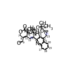 CC[C@@]1(O)C(=O)OCC(C=O)=C1/C=C1/c2nc3ccccc3c(/C=N\OC(C)(C)C)c2CN1C